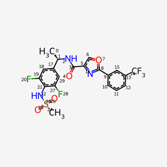 C[C@@H](NC(=O)c1coc(-c2cccc(C(F)(F)F)c2)n1)c1cc(F)c(NS(C)(=O)=O)c(F)c1